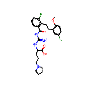 COc1ccc(Br)cc1CCc1c(F)cccc1C(=O)NC(=N)NC(CCCN1CCCC1)C(=O)O